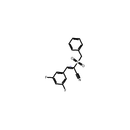 N#C/C(=C\c1cc(F)cc(F)c1)S(=O)(=O)Cc1ccccc1